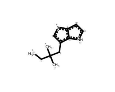 CCC(C)(C)Cc1csc2cc[nH]c12